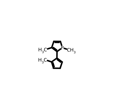 CC1=[C]CC=C1c1c(C)ccp1C